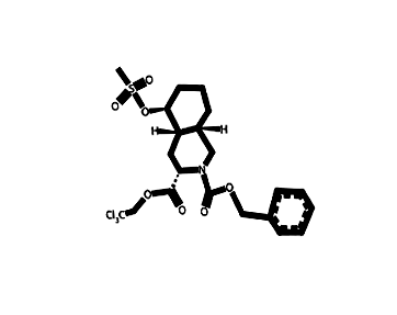 CS(=O)(=O)O[C@H]1CCC[C@@H]2CN(C(=O)OCc3ccccc3)[C@H](C(=O)OCC(Cl)(Cl)Cl)C[C@@H]21